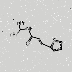 CCCC(CCC)NC(=O)/C=C/c1cccs1